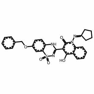 O=c1c(C2=NS(=O)(=O)c3cc(OCc4ccccc4)ccc3N2)c(O)c2ccccc2n1N=C1CCCC1